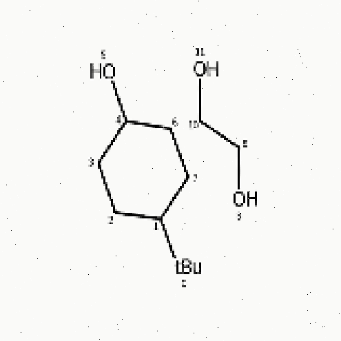 CC(C)(C)C1CCC(O)CC1.OCCO